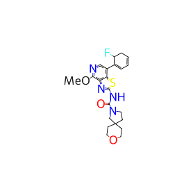 COc1ncc(C2=CC=CCC2F)c2sc(NC(=O)N3CCC4(CCOCC4)C3)nc12